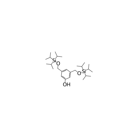 CC(C)[Si](OCc1cc(O)cc(CO[Si](C(C)C)(C(C)C)C(C)C)c1)(C(C)C)C(C)C